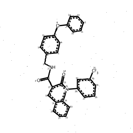 O=C(NCc1ccc(Oc2ccccc2)cc1)c1cc2ccccc2n(-c2cccc(C(F)(F)F)c2)c1=O